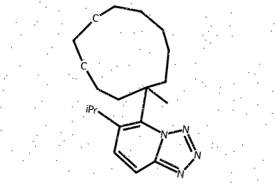 CC(C)c1ccc2nnnn2c1C1(C)CCCCCCCCCC1